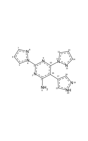 Nc1nc(-n2cccn2)nc(-n2cccn2)c1-c1cn[nH]c1